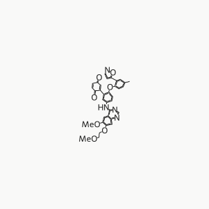 COCCOc1cc2ncnc(Nc3ccc(Oc4ccc(C)cc4-c4ccno4)c(C4=CC(=O)C=CC4=O)c3)c2cc1OC